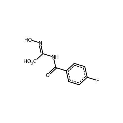 O=C(O)/C(=N\O)NC(=O)c1ccc(F)cc1